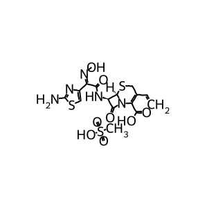 C=CC1=C(C(=O)O)N2C(=O)[C@@H](NC(=O)/C(=N\O)c3csc(N)n3)[C@H]2SC1.CS(=O)(=O)O